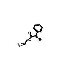 C=CCOC(=O)C(=N)c1ccccc1